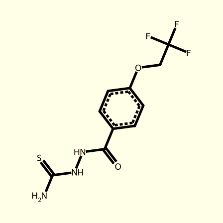 NC(=S)NNC(=O)c1ccc(OCC(F)(F)F)cc1